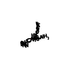 Cc1nnc(-c2ccc(CNC(=O)CN(CCOCCN)CC(=O)NCCOCCOCCN=[N+]=[N-])cc2)nn1